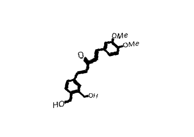 COc1ccc(/C=C/C(=O)/C=C/c2ccc(CO)c(CO)c2)cc1OC